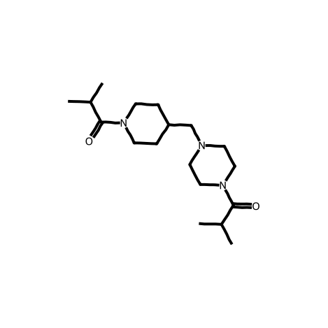 CC(C)C(=O)N1CCC(CN2CCN(C(=O)C(C)C)CC2)CC1